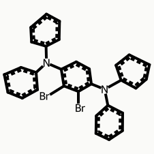 Brc1c(N(c2ccccc2)c2ccccc2)ccc(N(c2ccccc2)c2ccccc2)c1Br